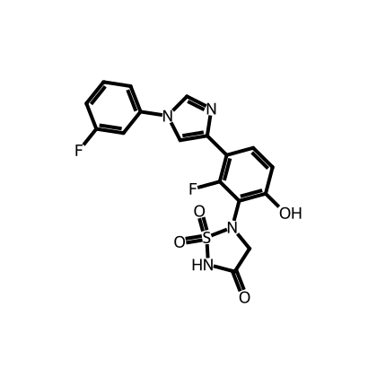 O=C1CN(c2c(O)ccc(-c3cn(-c4cccc(F)c4)cn3)c2F)S(=O)(=O)N1